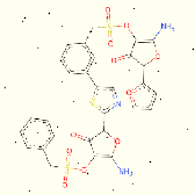 NC1=C(OS(=O)(=O)Cc2cccc(-c3cnc(C4OC(N)=C(OS(=O)(=O)Cc5ccccc5)C4=O)s3)c2)C(=O)C(c2ccco2)O1